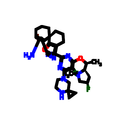 C[C@H](Oc1nc(-c2noc3c2CCC[C@@]32CCCc3sc(N)c(C#N)c32)nc(N2CCNC3(CC3)C2)c1F)[C@@H]1C[C@@H](F)CN1C